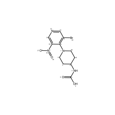 O=C(O)NC1CCN(c2c(Br)cncc2[N+](=O)[O-])CC1